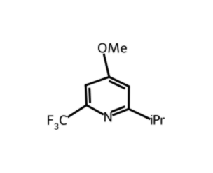 COc1cc(C(C)C)nc(C(F)(F)F)c1